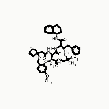 COc1ccc(CNC2(CC(=O)NC(CC(=O)NCC(C)(C)C)C(=O)NC(CCc3ccccc3)C(=O)N[C@@H]3CCCc4ccccc43)C=CSC2)c(OC)c1